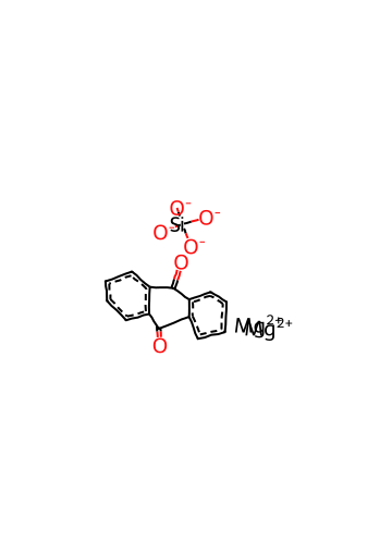 O=C1c2ccccc2C(=O)c2ccccc21.[Mg+2].[Mg+2].[O-][Si]([O-])([O-])[O-]